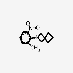 Cc1cccc([N+](=O)[O-])c1N1CC2(CCC2)C1